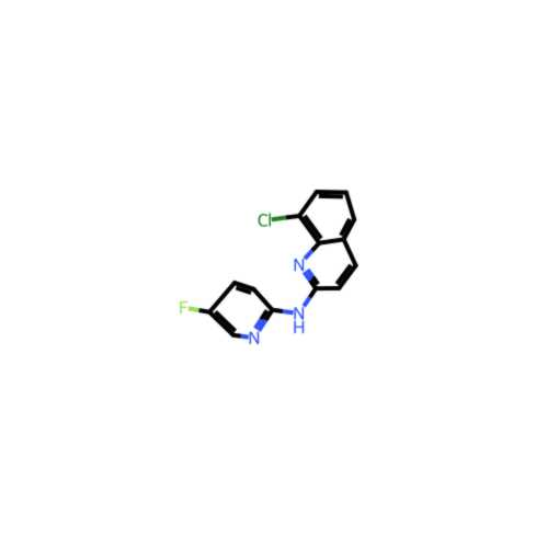 Fc1ccc(Nc2ccc3cccc(Cl)c3n2)nc1